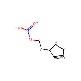 O=[N+]([O-])OCCC1C#CCC1